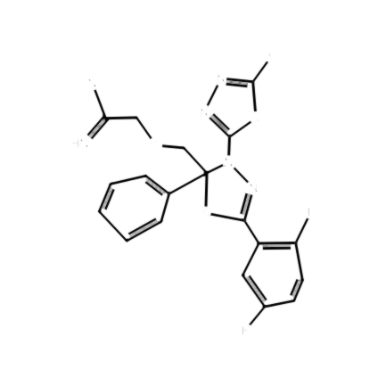 Cc1nnc(N2N=C(c3cc(F)ccc3F)SC2(COCC(=N)N)c2ccccc2)s1